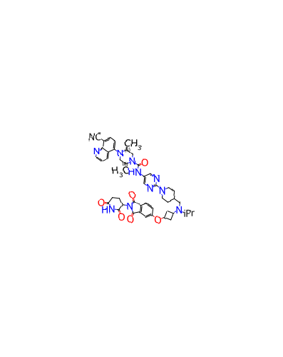 CC(C)N(CC1CCN(c2ncc(NC(=O)N3C[C@H](C)N(c4ccc(C#N)c5ncccc45)C[C@H]3C)cn2)CC1)C1CC(Oc2ccc3c(c2)C(=O)N(C2CCC(=O)NC2=O)C3=O)C1